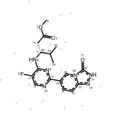 COC(=O)C[C@@H](Nc1nc(-c2ccc3n[nH]c(=O)n3c2)ncc1F)C(C)C